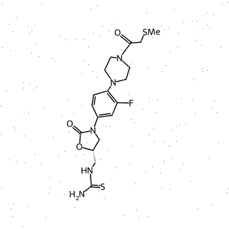 CSCC(=O)N1CCN(c2ccc(N3C[C@H](CNC(N)=S)OC3=O)cc2F)CC1